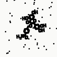 NC(=O)c1ccc(COc2c(-c3ccc(O)c(O)c3)oc3cc(O)cc(O)c3c2=O)cc1